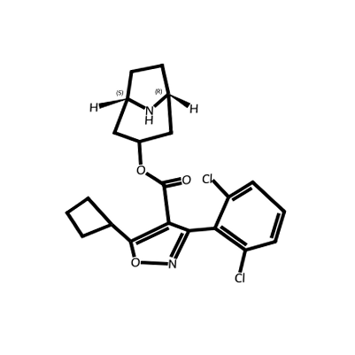 O=C(OC1C[C@H]2CC[C@@H](C1)N2)c1c(-c2c(Cl)cccc2Cl)noc1C1CCC1